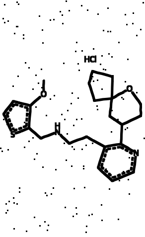 COc1ccsc1CNCCc1cccnc1C1CCOC2(CCCC2)C1.Cl